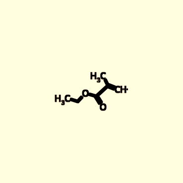 [CH]=C(C)C(=O)OCC